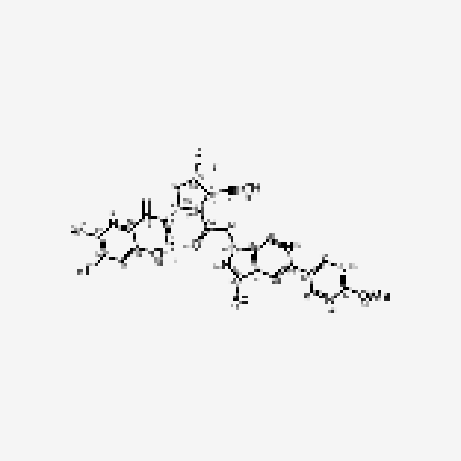 C#C[C@@H]1[C@@H](C)C[C@@H](C(=O)Nc2nc(Br)c(F)cc2C)N1C(=O)Cn1nc(C(C)=O)c2cc(-c3cnc(OC)nc3)ncc21